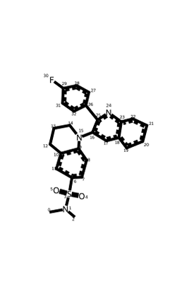 CN(C)S(=O)(=O)c1ccc2c(c1)CCCN2c1cc2ccccc2nc1-c1ccc(F)cc1